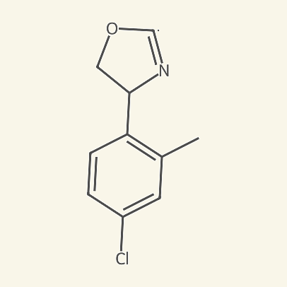 Cc1cc(Cl)ccc1C1CO[C]=N1